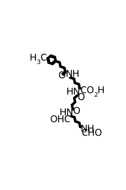 Cc1ccc(CCCC(=O)NCCCCC(NC(=O)CCCC(=O)NC(C=O)CCCCNC=O)C(=O)O)cc1